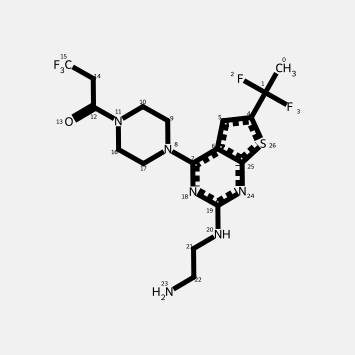 CC(F)(F)c1cc2c(N3CCN(C(=O)CC(F)(F)F)CC3)nc(NCCN)nc2s1